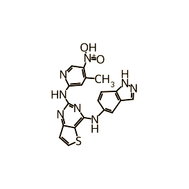 Cc1cc(Nc2nc(Nc3ccc4[nH]ncc4c3)c3sccc3n2)ncc1[N+](=O)O